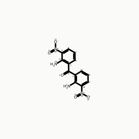 Nc1c(C(=O)c2cccc([N+](=O)[O-])c2N)cccc1[N+](=O)[O-]